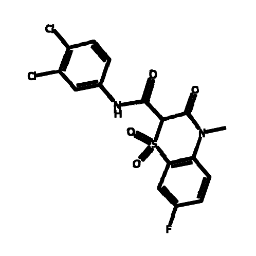 CN1C(=O)C(C(=O)Nc2ccc(Cl)c(Cl)c2)S(=O)(=O)c2cc(F)ccc21